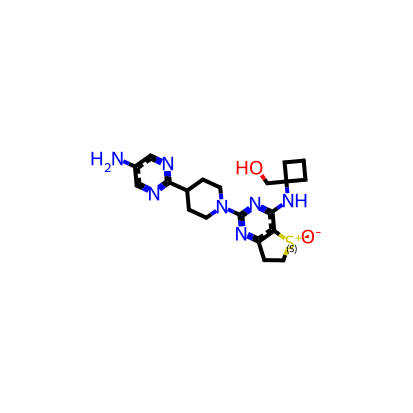 Nc1cnc(C2CCN(c3nc4c(c(NC5(CO)CCC5)n3)[S@+]([O-])CC4)CC2)nc1